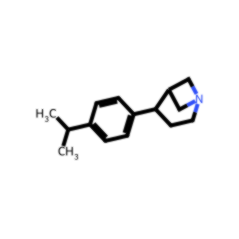 CC(C)c1ccc(C2CCN3CC2C3)cc1